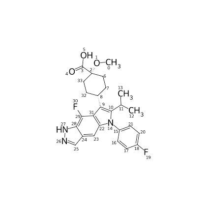 CO[C@]1(C(=O)O)CC[C@H](c2c(C(C)C)n(-c3ccc(F)cc3)c3cc4cn[nH]c4c(F)c32)CC1